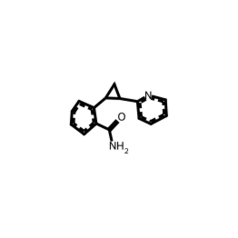 NC(=O)c1ccccc1C1CC1c1ccccn1